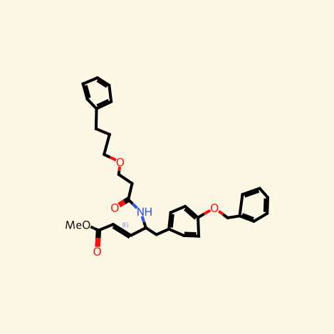 COC(=O)/C=C/C(Cc1ccc(OCc2ccccc2)cc1)NC(=O)CCOCCCc1ccccc1